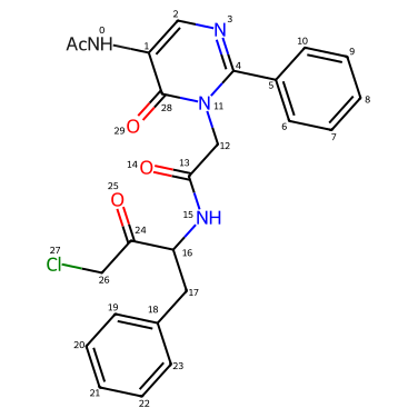 CC(=O)Nc1cnc(-c2ccccc2)n(CC(=O)NC(Cc2ccccc2)C(=O)CCl)c1=O